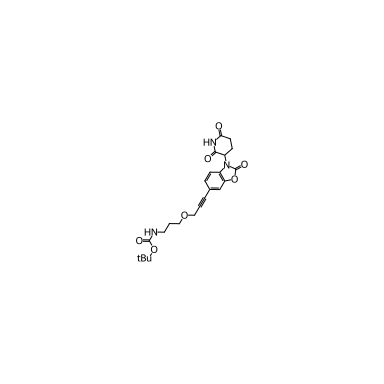 CC(C)(C)OC(=O)NCCCOCC#Cc1ccc2c(c1)oc(=O)n2C1CCC(=O)NC1=O